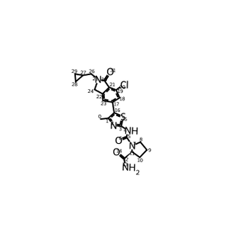 Cc1nc(NC(=O)N2CCC[C@H]2C(N)=O)sc1-c1cc(Cl)c2c(c1)CN(CC1CC1)C2=O